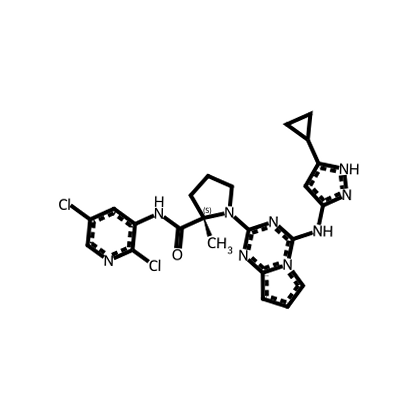 C[C@@]1(C(=O)Nc2cc(Cl)cnc2Cl)CCCN1c1nc(Nc2cc(C3CC3)[nH]n2)n2cccc2n1